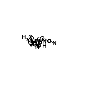 COCNS(=O)(=O)C1(COc2nccc3cc(C(=O)NCc4ccc(C#N)cc4)c(=O)n(C)c23)CC1